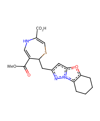 COC(=O)C1=CNC(C(=O)O)=CSC1Cc1cc2oc3c(n2n1)CCCC3